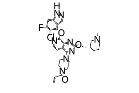 C=CC(=O)N1CCN(c2nc(OC[C@H]3CCCN(C)C3)nc3c(Oc4c(Cl)c(F)cc5[nH]ncc45)nccc23)CC1